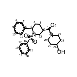 O=C([C@@H]1CC[C@H](c2ccccc2)N(S(=O)(=O)c2ccccc2)C1)N1CCC(O)CC1